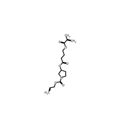 C=CCOC(=O)N1CCC(OC(=O)CCCOC(=O)C(=C)C)C1